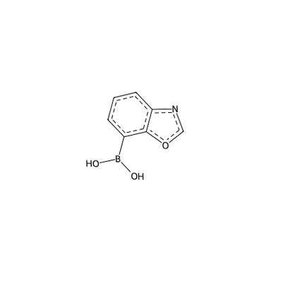 OB(O)c1cccc2ncoc12